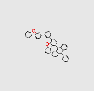 c1ccc(-c2c3ccccc3c(-c3ccc(-c4cccc(-c5ccc6c(c5)oc5ccccc56)c4)c4oc5ccccc5c34)c3ccccc23)cc1